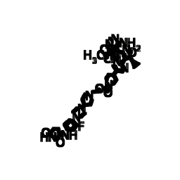 CC(C)(C)n1nc(-c2noc(C3CC3)c2-c2ncc(C3CCN(C(=O)OCCN4CCC(N5CCN(c6ccc(N[C@@H]7CCC(=O)NC7=O)cc6F)CC5)CC4)CC3)cn2)c2c(N)ncnc21